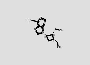 Nc1ncnc2c1ncn2[C@H]1C[C@@H](CO)[C@H]1CO